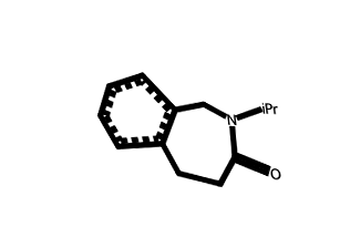 CC(C)N1Cc2ccccc2CCC1=O